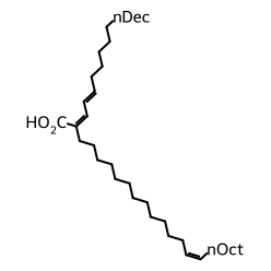 CCCCCCCC/C=C\CCCCCCCCCCCCC(=CC=CCCCCCCCCCCCCCCC)C(=O)O